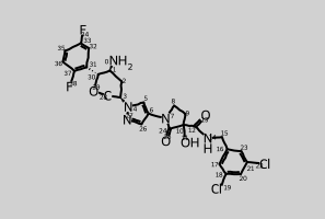 N[C@H]1C[C@@H](n2cc(N3CCC(O)(C(=O)NCc4cc(Cl)cc(Cl)c4)C3=O)cn2)CO[C@@H]1c1cc(F)ccc1F